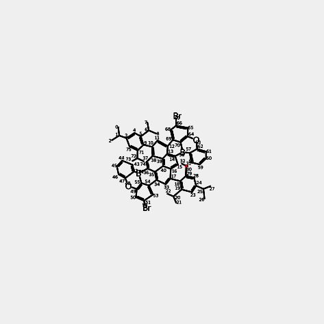 CC(C)c1cc(C(C)C)c(-c2cc3c4c(cc5c(-c6c(C(C)C)cc(C(C)C)cc6C(C)C)cc6c7c(cc2c4c57)B2c4ccccc4Oc4cc(Br)cc-6c42)B2c4ccccc4Oc4cc(Br)cc-3c42)c(C(C)C)c1